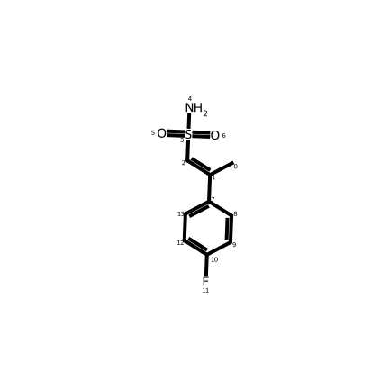 CC(=CS(N)(=O)=O)c1ccc(F)cc1